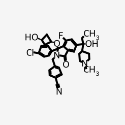 CC[C@@](O)(c1cc(F)c2c(c1)C(=O)N(Cc1ccc(C#N)cc1)C2(O[C@H]1C[C@@H](O)C1)c1ccc(Cl)cc1)C1CCN(C)CC1